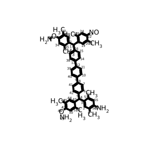 Cc1cc(C(c2ccc(-c3ccc(-c4ccc(C(c5cc(C)c(N=O)cc5C)c5cc(C)c(ON)cc5C)cc4)cc3)cc2)c2cc(C)c(ON)cc2C)c(C)cc1N